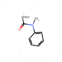 CCCCCC(=O)N(c1ccccc1)C(F)(F)F